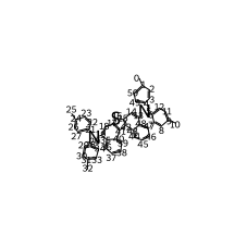 Cc1ccc(N(c2ccc(C)cc2)c2cc3sc4cc(N(c5ccc(C)cc5)c5ccc(C)cc5)c5ccccc5c4c3c3ccccc23)cc1